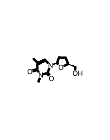 Cc1cn([C@H]2CC[C@@H](CO)O2)c(=O)n(C)c1=O